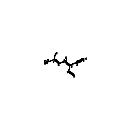 C=C/C(C#N)=N\C=C(/C)Br